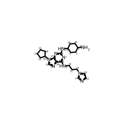 NC1CCC(Nc2nc(NCCCn3ccnc3)c3ncn(C4CCCC4)c3n2)CC1